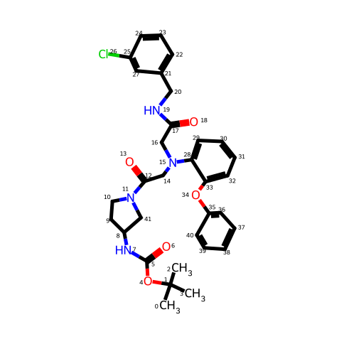 CC(C)(C)OC(=O)NC1CCN(C(=O)CN(CC(=O)NCc2cccc(Cl)c2)c2ccccc2Oc2ccccc2)C1